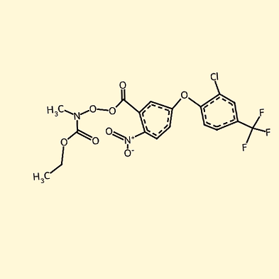 CCOC(=O)N(C)OOC(=O)c1cc(Oc2ccc(C(F)(F)F)cc2Cl)ccc1[N+](=O)[O-]